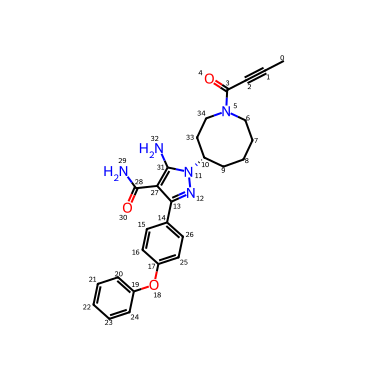 CC#CC(=O)N1CCCC[C@H](n2nc(-c3ccc(Oc4ccccc4)cc3)c(C(N)=O)c2N)CC1